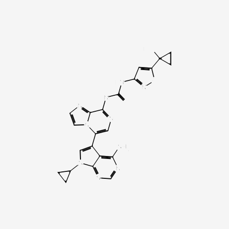 Nc1ncnc2c1c(-c1cnc(NC(=O)Nc3cc(C4(C(F)(F)F)CC4)on3)c3nccn13)cn2C1CC1